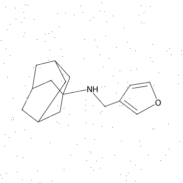 c1cc(CNC23CC4CC(CC(C4)C2)C3)co1